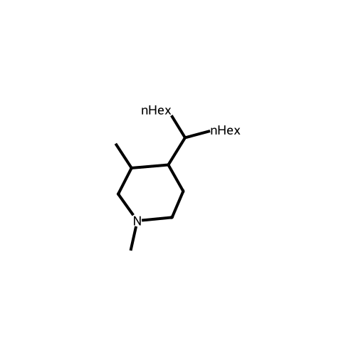 CCCCCCC(CCCCCC)C1CCN(C)CC1C